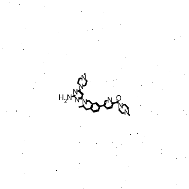 CC1Cc2ccc(-c3ccc(C(=O)N4CCN(C)CC4)nc3)cc2CN1c1cc(N2CCN(C)CC2)nc(N)n1